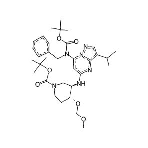 COCO[C@@H]1CCN(C(=O)OC(C)(C)C)C[C@H]1Nc1cc(N(Cc2ccccc2)C(=O)OC(C)(C)C)n2ncc(C(C)C)c2n1